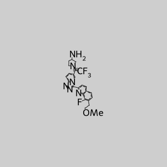 COCCc1ccc2ccc(-c3nnc4ccc([C@@H](N5CCC(N)C5)C(F)(F)F)cn34)nc2c1F